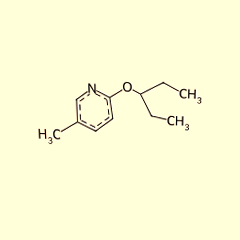 CCC(CC)Oc1ccc(C)cn1